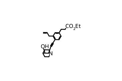 C=CCc1cc(CCC(=O)OCC)ccc1C#CC1C(O)C2CCN1CC2